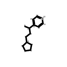 CC(CCC1CCCC1)c1ccncc1